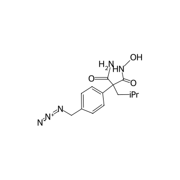 CC(C)CC(C(N)=O)(C(=O)NO)c1ccc(CN=[N+]=[N-])cc1